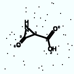 O=C(O)C1NC1=O